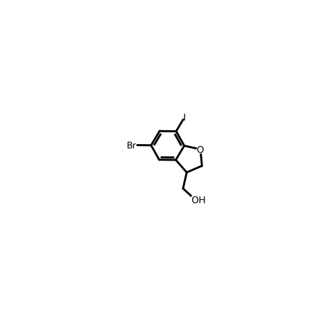 OCC1COc2c(I)cc(Br)cc21